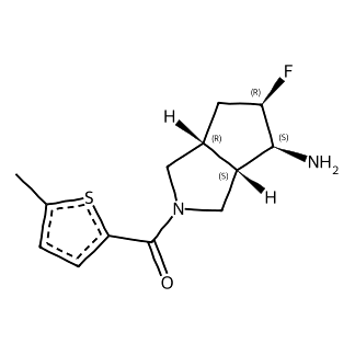 Cc1ccc(C(=O)N2C[C@@H]3C[C@@H](F)[C@@H](N)[C@@H]3C2)s1